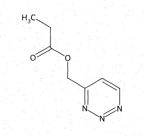 CCC(=O)OCc1ccnnn1